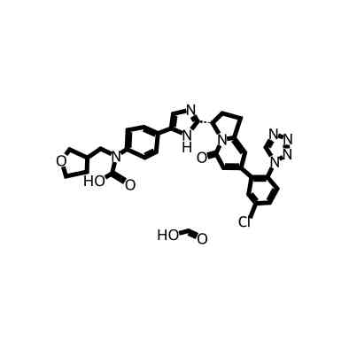 O=C(O)N(CC1CCOC1)c1ccc(-c2cnc([C@@H]3CCc4cc(-c5cc(Cl)ccc5-n5cnnn5)cc(=O)n43)[nH]2)cc1.O=CO